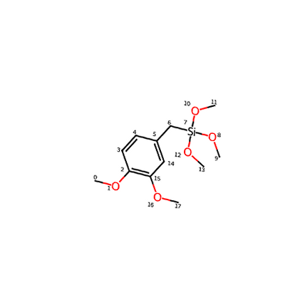 COc1ccc(C[Si](OC)(OC)OC)cc1OC